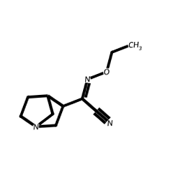 CCON=C(C#N)C1CN2CCC1C2